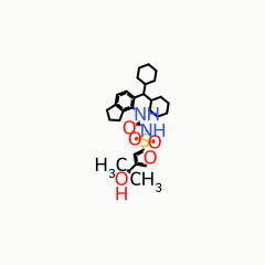 CC(C)(O)c1coc(S(=O)(=O)NC(=O)Nc2c(C(C3CCCCC3)C3CCCCC3)ccc3c2CCC3)c1